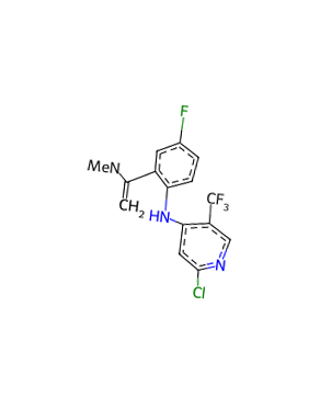 C=C(NC)c1cc(F)ccc1Nc1cc(Cl)ncc1C(F)(F)F